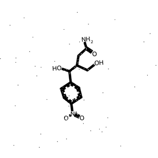 NC(=O)CC(CO)C(O)c1ccc([N+](=O)[O-])cc1